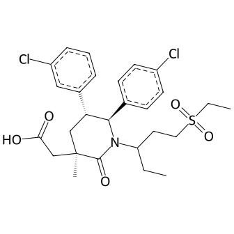 CCC(CCS(=O)(=O)CC)N1C(=O)[C@@](C)(CC(=O)O)C[C@H](c2cccc(Cl)c2)[C@H]1c1ccc(Cl)cc1